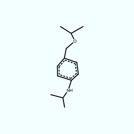 CC(C)Nc1ccc(COC(C)C)cc1